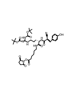 CC(C)(C)OC(=O)/N=C(/NCCC[C@H](NC(=O)/C(C#N)=C/c1ccc(O)cc1)C(=O)NCCCCCC(=O)ON1C(=O)CCC1=O)NC(=O)OC(C)(C)C